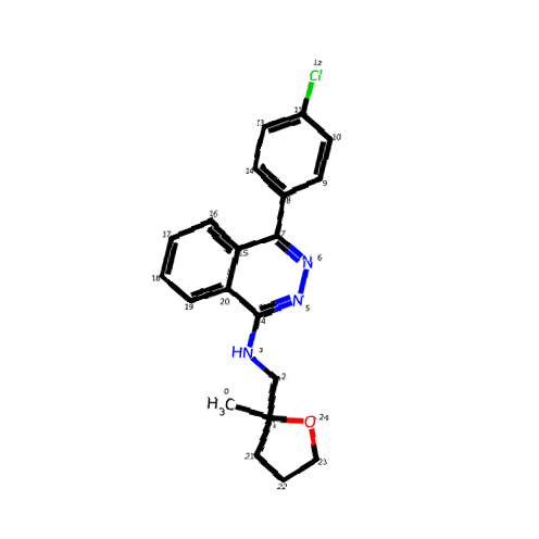 CC1(CNc2nnc(-c3ccc(Cl)cc3)c3ccccc23)CCCO1